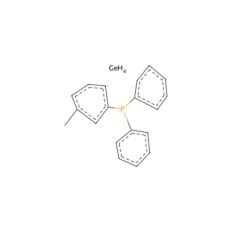 Cc1cc[c]c(P(c2ccccc2)c2ccccc2)c1.[GeH4]